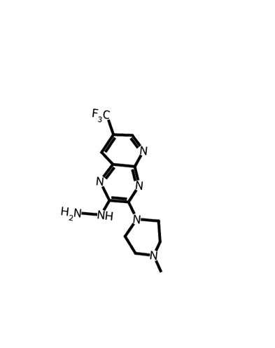 CN1CCN(c2nc3ncc(C(F)(F)F)cc3nc2NN)CC1